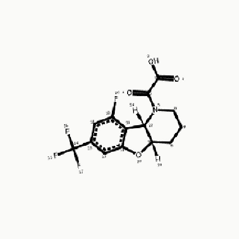 O=C(O)C(=O)N1CCC[C@@H]2Oc3cc(C(F)(F)F)cc(F)c3[C@@H]21